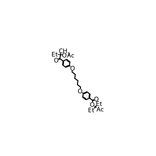 CCC(CC)(OC(=O)c1ccc(OCCCCCCOc2ccc(C(=O)[C@@](C)(CC)OC(C)=O)cc2)cc1)C(C)=O